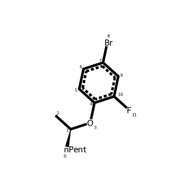 CCCCC[C@@H](C)Oc1ccc(Br)cc1F